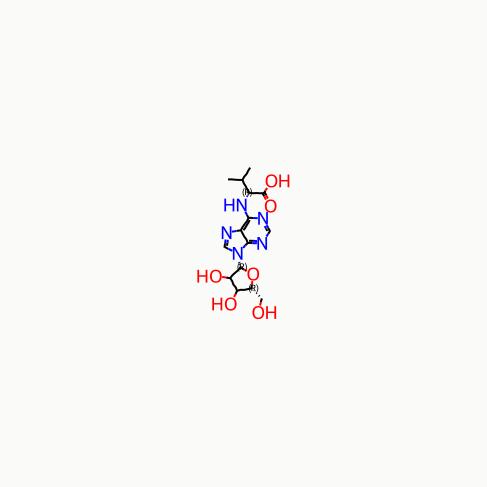 CC(C)[C@@H](Nc1ncnc2c1ncn2[C@@H]1O[C@H](CO)C(O)C1O)C(=O)O